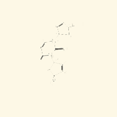 O=c1ccn(C2C=CC(O)C2)c(=O)n1C1C=CC(O)C1